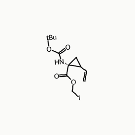 C=CC1C[C@]1(NC(=O)OC(C)(C)C)C(=O)OCI